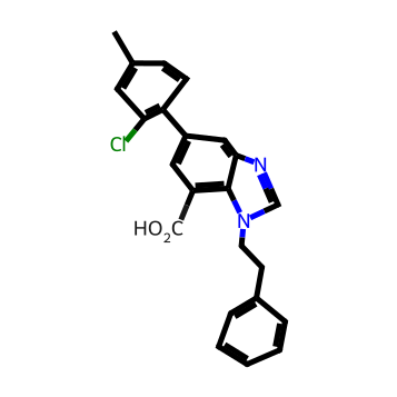 Cc1ccc(-c2cc(C(=O)O)c3c(c2)ncn3CCc2ccccc2)c(Cl)c1